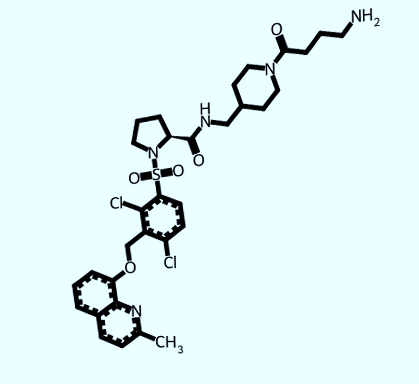 Cc1ccc2cccc(OCc3c(Cl)ccc(S(=O)(=O)N4CCC[C@H]4C(=O)NCC4CCN(C(=O)CCCN)CC4)c3Cl)c2n1